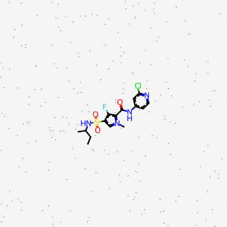 CCC(C)NS(=O)(=O)c1cn(C)c(C(=O)Nc2ccnc(Cl)c2)c1F